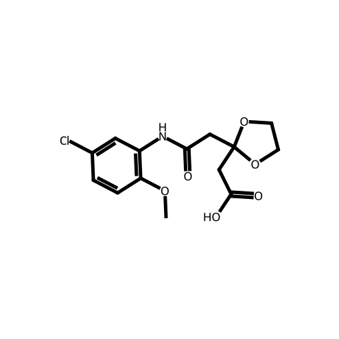 COc1ccc(Cl)cc1NC(=O)CC1(CC(=O)O)OCCO1